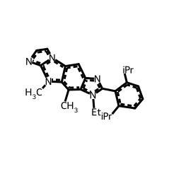 CCn1c(-c2c(C(C)C)cccc2C(C)C)nc2cc3c(c(C)c21)n(C)c1nccn31